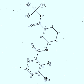 CC(C)(C)OC(=O)N1CCCC(NC(=O)c2ncnc(N)c2Cl)C1